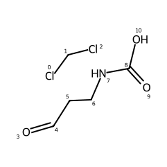 ClCCl.O=CCCNC(=O)O